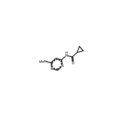 CNc1cc(NC(=O)C2CC2)ncn1